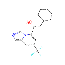 O[C@H](CC1CCCCC1)c1cc(C(F)(F)F)cc2cncn12